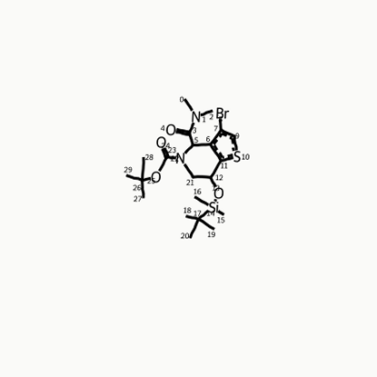 CN(C)C(=O)C1c2c(Br)csc2C(O[Si](C)(C)C(C)(C)C)CN1C(=O)OC(C)(C)C